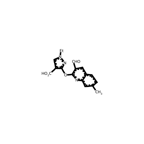 CCn1cc(C(=O)O)c(Oc2nc3cc(C)ccc3cc2C=O)n1